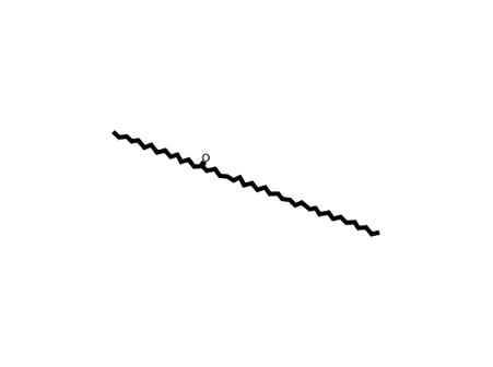 CCCCCCCCCCCCCCCCCCCCCCCCCCCCC(=O)CCCCCCCCCCCCCC